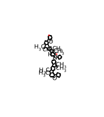 Cc1ccccc1N(c1ccc2c(c1)C(C)(C)c1cc3c(cc1-2)C(C)(C)c1ccc2c(oc4ccccc42)c1-3)c1ccc2c(c1)C(C)(C)c1cc3c(cc1-2)C(C)(C)c1ccc2oc4ccccc4c2c1-3